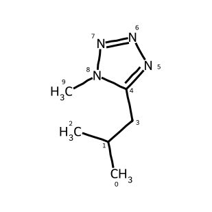 CC(C)Cc1nnnn1C